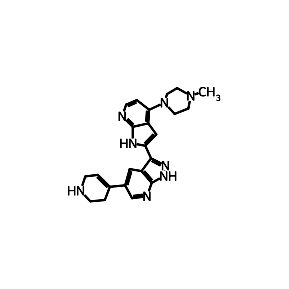 CN1CCN(c2ccnc3[nH]c(-c4n[nH]c5ncc(C6=CCNCC6)cc45)cc23)CC1